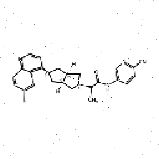 CC(C(=O)Nc1ccc(C#N)nc1)[C@H]1C[C@H]2C[C@@H](c3ccnc4ccc(F)cc34)C[C@H]2C1